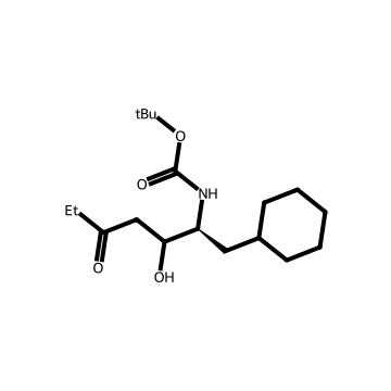 CCC(=O)CC(O)[C@H](CC1CCCCC1)NC(=O)OC(C)(C)C